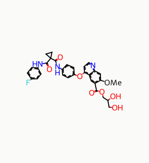 COc1cc2nccc(Oc3ccc(NC(=O)C4(C(=O)Nc5ccc(F)cc5)CC4)cc3)c2cc1C(=O)OCC(O)CO